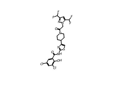 O=C(Nc1nc(C2CCN(C(=O)Cn3nc(C(F)F)cc3C(F)F)CC2)cs1)c1cc(Cl)cc(Cl)c1O